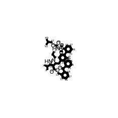 CCCN1NC(C(C)C)=C(C(=O)OCc2ccccc2C(=O)c2ccccc2)C1Cc1ccc(-c2ccccc2S(=O)(=O)NC(=O)OCC(C)C)c(F)c1